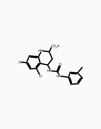 Cc1cccc(NC(=O)NC2CC(C(=O)O)Nc3cc(Cl)cc(Cl)c32)c1